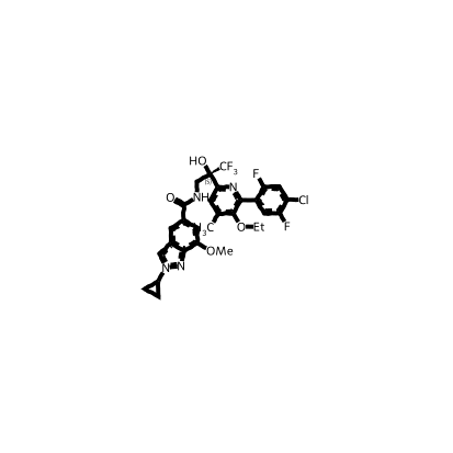 CCOc1c(C)cc([C@@](O)(CNC(=O)c2cc(OC)c3nn(C4CC4)cc3c2)C(F)(F)F)nc1-c1cc(F)c(Cl)cc1F